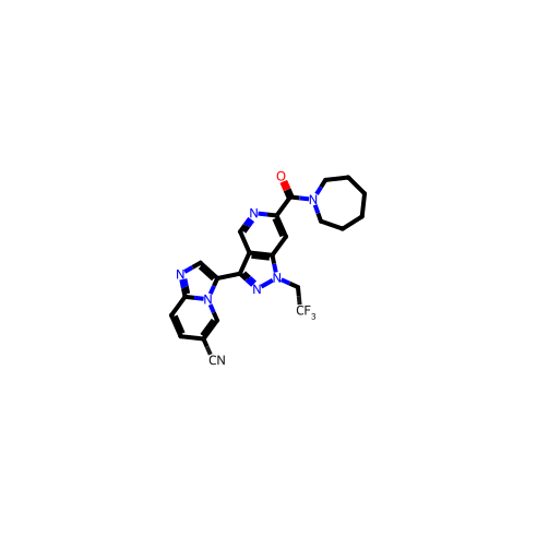 N#Cc1ccc2ncc(-c3nn(CC(F)(F)F)c4cc(C(=O)N5CCCCCC5)ncc34)n2c1